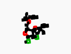 CC(C)(C)[Si](C)(C)OC[C@H]1O[C@@H](Cl)C(Cl)C1O[Si](C)(C)C(C)(C)C